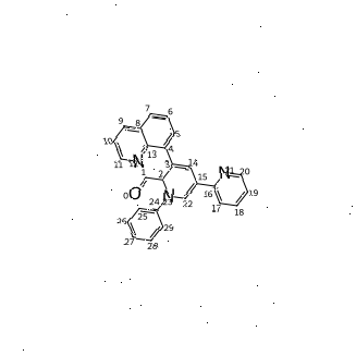 O=CC1C(c2cccc3cccnc23)=CC(c2ccccn2)=CN1c1ccccc1